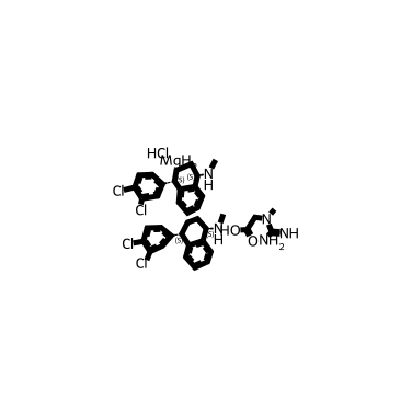 CN(CC(=O)O)C(=N)N.CN[C@H]1CC[C@@H](c2ccc(Cl)c(Cl)c2)c2ccccc21.CN[C@H]1CC[C@@H](c2ccc(Cl)c(Cl)c2)c2ccccc21.Cl.[MgH2]